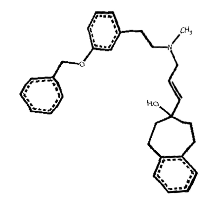 CN(CC=CC1(O)CCc2ccccc2CC1)CCc1cccc(OCc2ccccc2)c1